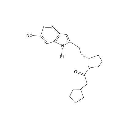 CCn1c(CC[C@@H]2CCCN2C(=O)CC2CCCC2)cc2ccc(C#N)cc21